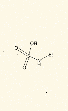 [CH2]CNS(=O)(=O)O